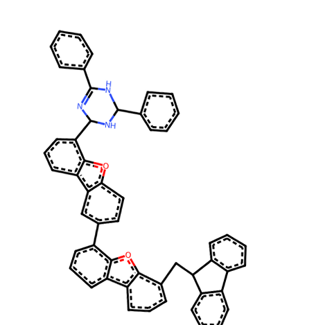 c1ccc(C2=NC(c3cccc4c3oc3ccc(-c5cccc6c5oc5c(CC7c8ccccc8-c8ccccc87)cccc56)cc34)NC(c3ccccc3)N2)cc1